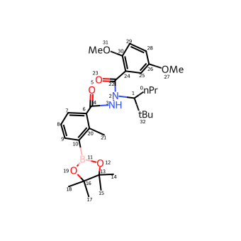 CCCC(N(NC(=O)c1cccc(B2OC(C)(C)C(C)(C)O2)c1C)C(=O)c1cc(OC)ccc1OC)C(C)(C)C